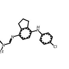 CCN(C)C=Nc1ccc(Nc2ccc(Cl)cc2)c2c1CCC2